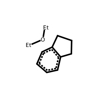 CCOCC.c1ccc2c(c1)CCC2